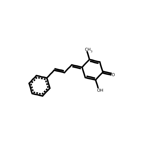 CC1=CC(=O)C(O)=CC1=CC=Cc1ccccc1